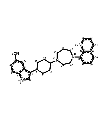 N#Cc1ccc2[nH]cc(C3CCC(N4CCCN(c5cccc6cccnc56)CC4)CC3)c2c1